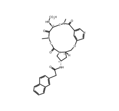 CN1C[C@H](NC(=O)O)C(=O)N(C)CC(=O)N2C[C@@H](NC(=O)Cc3ccc4ccccc4c3)C[C@H]2COc2cncc(c2)C1=O